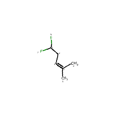 CC(C)=CCC(F)F